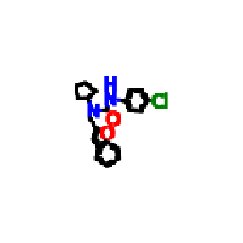 O=C(Nc1ccc(Cl)cc1)N(Cc1cc2ccccc2o1)C1CCCC1